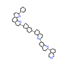 c1ccc(-c2ccc3ccc4ccc(-c5ccc6cc(-c7ccc8ccc(-c9ccc%10ccc(-c%11cccc%12cnccc%11%12)nc%10c9)nc8c7)ccc6c5)nc4c3n2)cc1